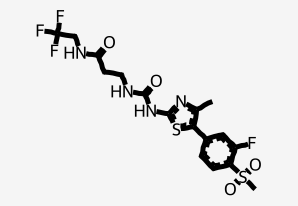 Cc1nc(NC(=O)NCCC(=O)NCC(F)(F)F)sc1-c1ccc(S(C)(=O)=O)c(F)c1